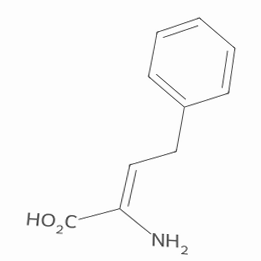 NC(=CCc1ccccc1)C(=O)O